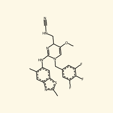 COC1=CN(Cc2cc(F)c(F)c(F)c2)C(Nc2cc3sc(C)nc3cc2C)=NC1CNC#N